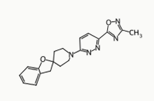 Cc1noc(-c2ccc(N3CCC4(CC3)Cc3ccccc3O4)nn2)n1